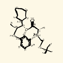 C[C@H](NCOC(C)(C)C)C(=O)O[C@@H](C1CCCC1)[C@H](C)Oc1ccccc1